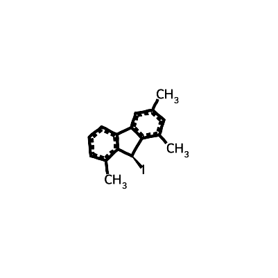 Cc1cc(C)c2c(c1)-c1cccc(C)c1[C@@H]2I